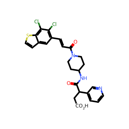 O=C(O)CC(C(=O)NC1CCN(C(=O)C=Cc2cc3ccsc3c(Cl)c2Cl)CC1)c1cccnc1